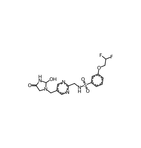 O=C1CN(Cc2cnc(CNS(=O)(=O)c3cccc(OCC(F)F)c3)nc2)C(O)N1